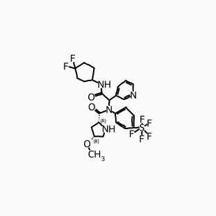 CO[C@H]1CN[C@@H](C(=O)N(c2ccc(S(F)(F)(F)(F)F)cc2)C(C(=O)NC2CCC(F)(F)CC2)c2cccnc2)C1